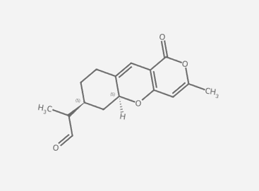 Cc1cc2c(c(=O)o1)C=C1CC[C@H](C(C)C=O)C[C@@H]1O2